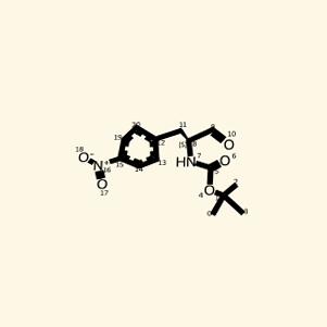 CC(C)(C)OC(=O)N[C@H](C=O)Cc1ccc([N+](=O)[O-])cc1